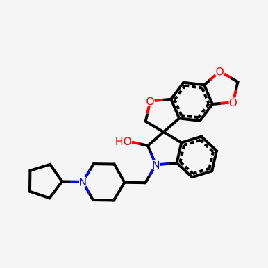 OC1N(CC2CCN(C3CCCC3)CC2)c2ccccc2C12COc1cc3c(cc12)OCO3